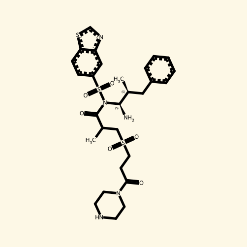 CC(CS(=O)(=O)CCC(=O)N1CCNCC1)C(=O)N([C@H](N)[C@@H](C)Cc1ccccc1)S(=O)(=O)c1ccc2scnc2c1